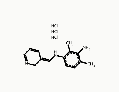 Cc1ccc(NC=C2C=CC=NC2)c(C)c1N.Cl.Cl.Cl